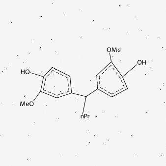 CCCC(c1ccc(O)c(OC)c1)c1ccc(O)c(OC)c1